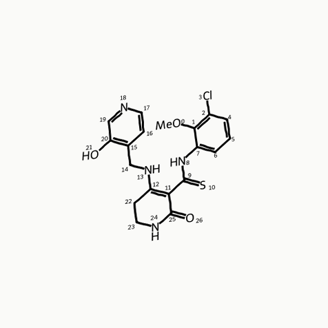 COc1c(Cl)cccc1NC(=S)C1=C(NCc2ccncc2O)CCNC1=O